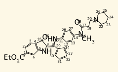 CCOC(=O)c1ccc2c(c1)NC(=C(Nc1ccc(N(C)C(=O)CCN3CCCCC3)cc1)c1ccccc1)C2=O